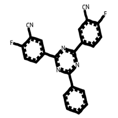 N#Cc1cc(-c2nc(-c3ccccc3)nc(-c3ccc(F)c(C#N)c3)n2)ccc1F